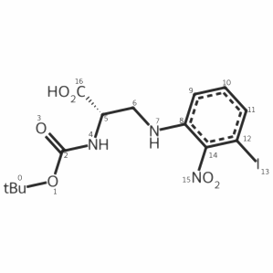 CC(C)(C)OC(=O)N[C@@H](CNc1cccc(I)c1[N+](=O)[O-])C(=O)O